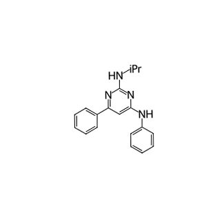 CC(C)Nc1nc(Nc2ccccc2)cc(-c2ccccc2)n1